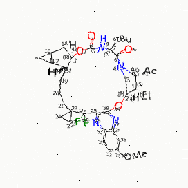 CC[C@@H]1[C@@H]2CN(C(=O)[C@H](C(C)(C)C)NC(=O)O[C@@H]3CC4CC4[C@H]3CCCC3(CC3)C(F)(F)c3nc4ccc(OC)cc4nc3O2)[C@@H]1C(C)=O